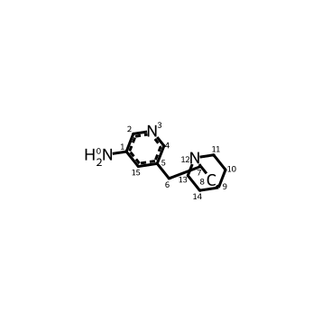 Nc1cncc(CC2CC3CCN2CC3)c1